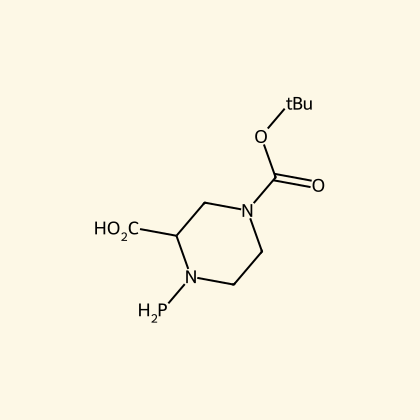 CC(C)(C)OC(=O)N1CCN(P)C(C(=O)O)C1